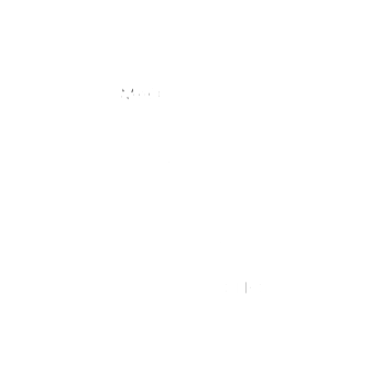 COc1ccc2c(c1)CC(C=O)=C2